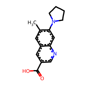 Cc1cc2cc(C(=O)O)cnc2cc1N1CCCC1